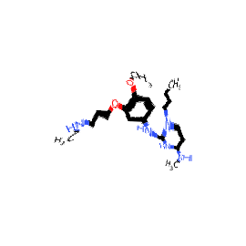 CCCCN1CCC(NC)NC1Nc1ccc(OC)c(OCCCNC)c1